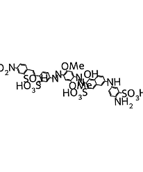 COc1cc(N=Nc2c(S(=O)(=O)O)cc3cc(Nc4ccc(N)c(S(=O)(=O)O)c4)ccc3c2O)c(OC)cc1N=Nc1ccc(C=Cc2ccc([N+](=O)[O-])cc2S(=O)(=O)O)c(S(=O)(=O)O)c1